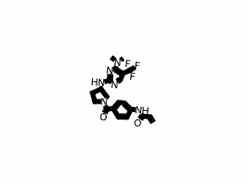 C=CC(=O)Nc1ccc(C(=O)N2CC[C@@H](Nc3ncc(C(F)(F)F)c(N(C)C)n3)C2)cc1